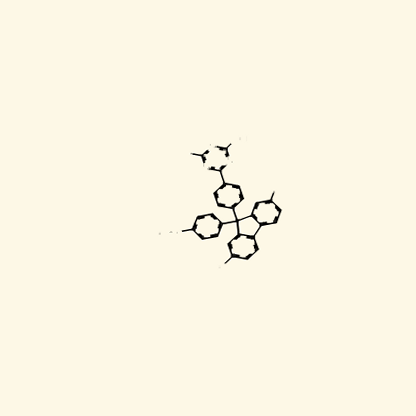 CCCCCCc1ccc(C2(c3ccc(-c4nc(O)nc(O)n4)cc3)c3cc(Br)ccc3-c3ccc(Br)cc32)cc1